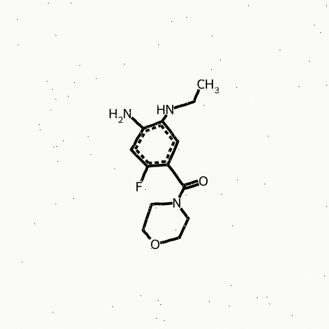 CCNc1cc(C(=O)N2CCOCC2)c(F)cc1N